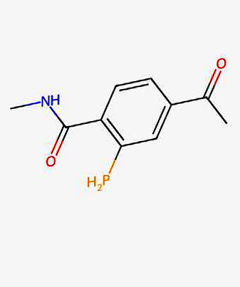 CNC(=O)c1ccc(C(C)=O)cc1P